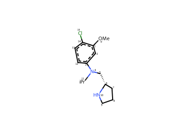 COc1cc(N(C[C@@H]2CCCN2)C(C)C)ccc1Cl